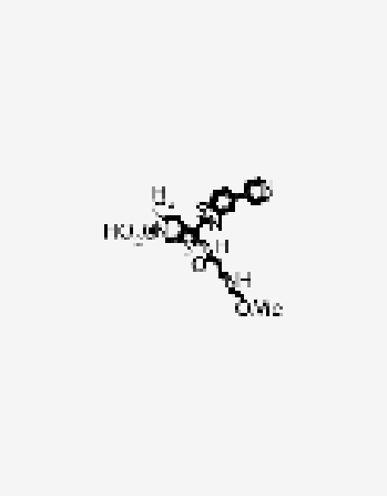 COCCNCCC(=O)Nc1sc2c(c1-c1nc3cc(-c4ccncc4)ccc3s1)CC(C)N(C(=O)O)C2